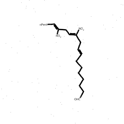 CCCCC/C=C(/C/C=C(/C/C=C/CCCCCC[C]=O)[N+](=O)[O-])[N+](=O)[O-]